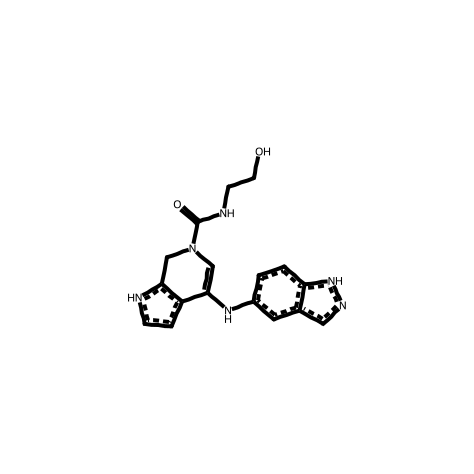 O=C(NCCO)N1C=C(Nc2ccc3[nH]ncc3c2)c2cc[nH]c2C1